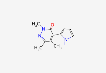 Cc1nn(C)c(=O)c(-c2ccc[nH]2)c1C